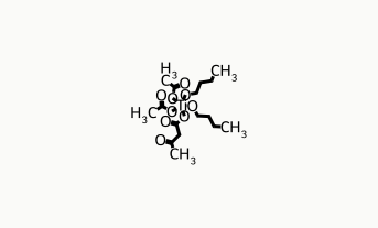 CCCC[O][Ti]([O]CCCC)([O]C(C)=O)([O]C(C)=O)[O]C(=O)CC(C)=O